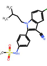 CC(C)CCn1c(-c2ccc(NS(C)(=O)=O)cc2)c(C#N)c2cc(Cl)ccc21